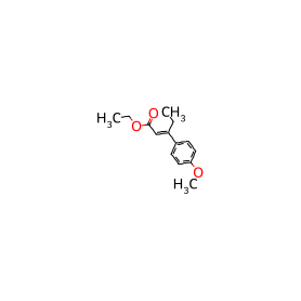 CCOC(=O)C=C(CC)c1ccc(OC)cc1